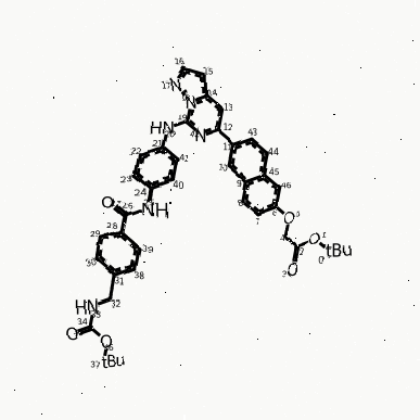 CC(C)(C)OC(=O)COc1ccc2cc(-c3cc4ccnn4c(Nc4ccc(NC(=O)c5ccc(CNC(=O)OC(C)(C)C)cc5)cc4)n3)ccc2c1